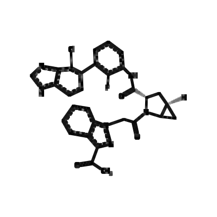 CC(=O)c1nn(CC(=O)N2C3C[C@@H]3C[C@H]2C(=O)Nc2cccc(-c3ccc4[nH]cnc4c3Cl)c2F)c2ccccc12